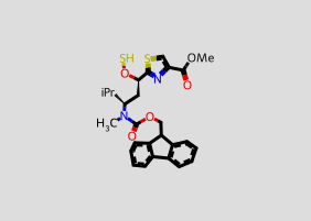 COC(=O)c1csc([C@@H](C[C@H](C(C)C)N(C)C(=O)OCC2c3ccccc3-c3ccccc32)OS)n1